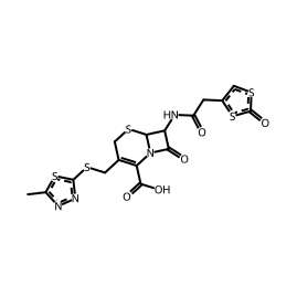 Cc1nnc(SCC2=C(C(=O)O)N3C(=O)C(NC(=O)Cc4csc(=O)s4)C3SC2)s1